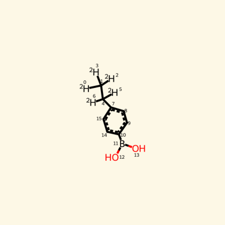 [2H]C([2H])([2H])C([2H])([2H])c1ccc(B(O)O)cc1